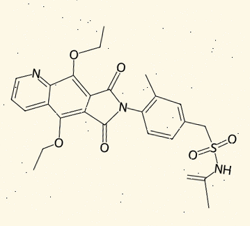 C=C(C)NS(=O)(=O)Cc1ccc(N2C(=O)c3c(c(OCC)c4ncccc4c3OCC)C2=O)c(C)c1